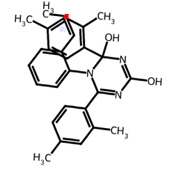 C/C=C\c1ccccc1N1C(c2ccc(C)cc2C)=NC(O)=NC1(O)c1ccc(C)cc1C